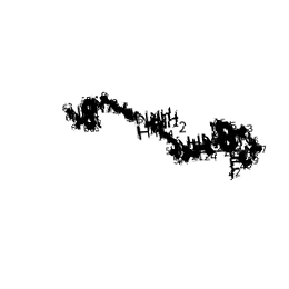 C=C(CCCCNC/C(N)=C/N(N)CCCCC(NC(=C)CCC(=C)Nc1cccc2c(C(=C)NCC(=C)N3CCC(F)(F)C3)ccnc12)C(=C)C)Nc1cccc2c(C(=C)NCC)ccnc12